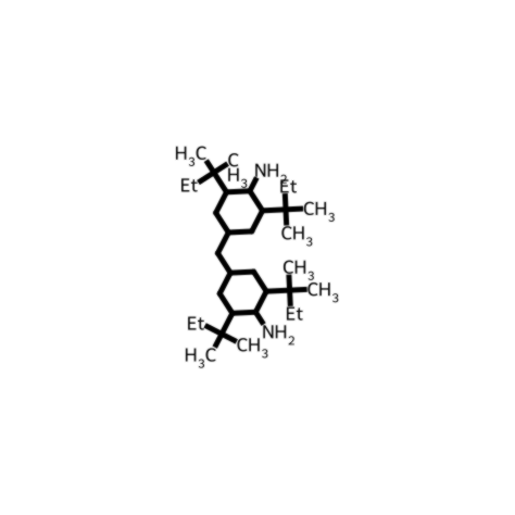 CCC(C)(C)C1CC(CC2CC(C(C)(C)CC)C(N)C(C(C)(C)CC)C2)CC(C(C)(C)CC)C1N